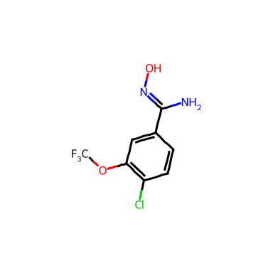 N/C(=N\O)c1ccc(Cl)c(OC(F)(F)F)c1